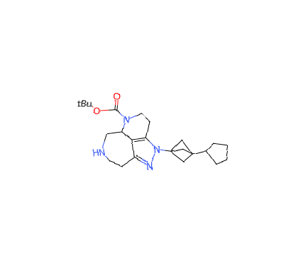 CC(C)(C)OC(=O)N1CCc2c3c(nn2C24CC(C5CCCC5)(C2)C4)CCNCC31